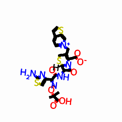 CC(C)(ON=C(C(=O)NC1C(=O)N2C(C(=O)[O-])=C(C[n+]3ccc4ccsc4c3)CS[C@@H]12)c1csc(N)n1)C(=O)O